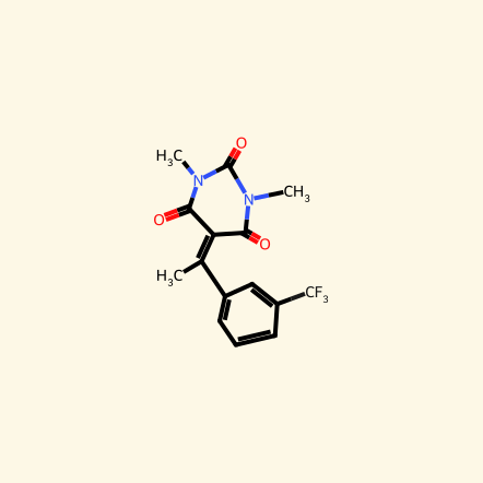 CC(=C1C(=O)N(C)C(=O)N(C)C1=O)c1cccc(C(F)(F)F)c1